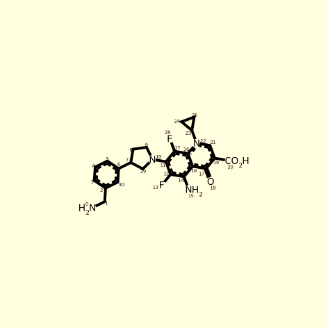 NCc1cccc(C2CCN(c3c(F)c(N)c4c(=O)c(C(=O)O)cn(C5CC5)c4c3F)C2)c1